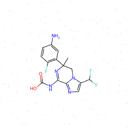 CC1(c2cc(N)ccc2F)Cn2c(C(F)F)cnc2C(NC(=O)O)=N1